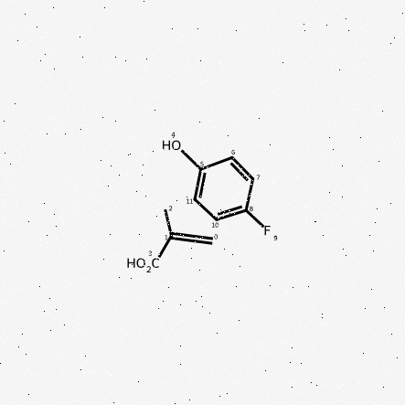 C=C(C)C(=O)O.Oc1ccc(F)cc1